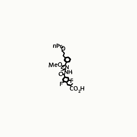 CCCOCCCc1cccc(-c2nc(NC(=O)c3cc(F)c(C=C(C)C(=O)O)c(F)c3)sc2OC)c1